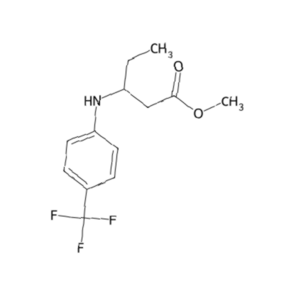 CCC(CC(=O)OC)Nc1ccc(C(F)(F)F)cc1